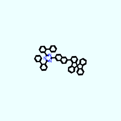 c1ccc(-c2ccccc2-c2nc(-c3ccc4cc(-c5cccc6c5-c5ccccc5C65c6ccccc6-c6ccccc65)ccc4c3)nc(-c3ccccc3-c3ccccc3)n2)cc1